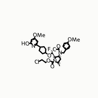 COc1ccc(CN(C(=O)C(F)(F)F)[C@H]2C[C@@H](C)N(C(=O)OCCCl)[C@H]2COC2CCC(c3cc(OC)cc(O)n3)CC2)cc1